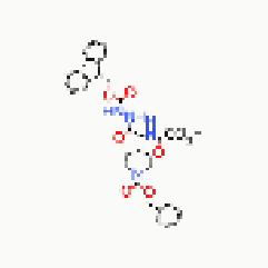 O=C(NNC(=O)C(NC(=O)C(=O)O)C1CCN(C(=O)OCc2ccccc2)CC1)OCC1c2ccccc2-c2ccccc21